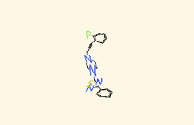 Fc1ccccc1C#CCN1CCN(c2nc(-c3ccccc3)ns2)CC1